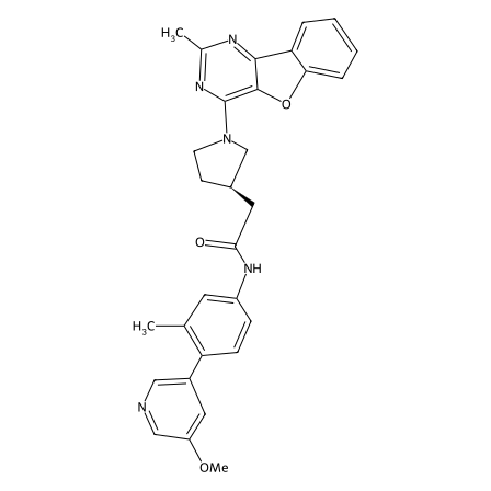 COc1cncc(-c2ccc(NC(=O)C[C@H]3CCN(c4nc(C)nc5c4oc4ccccc45)C3)cc2C)c1